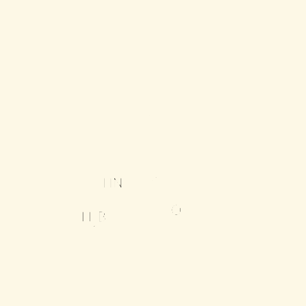 BNC(=O)c1ccccc1